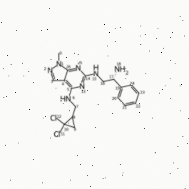 Cn1ncc2c(NCC3CC3(Cl)Cl)nc(NC[C@H](N)c3ccccc3)nc21